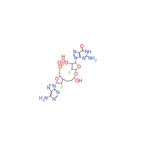 Nc1nc2c(ncn2C2OC3OC(O)CCC4C(COP(=O)(O)OC2C3F)OC(n2cnc3c(N)ncnc32)C4F)c(=O)[nH]1